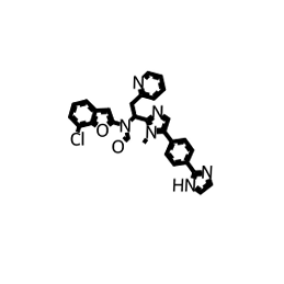 Cn1c(-c2ccc(-c3ncc[nH]3)cc2)cnc1C(Cc1ccccn1)N(C=O)c1cc2cccc(Cl)c2o1